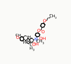 CCCCOc1ccc(C(=O)Oc2ccc(N(C)[C@@H]3C[C@H]4[C@@H]5CCc6cc(OC)ccc6[C@H]5CC[C@]4(C)[C@H]3O)c(O)c2)cc1